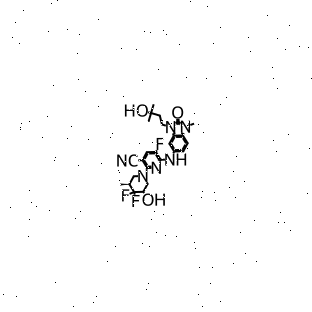 C[C@H]1CN(c2nc(Nc3ccc4c(c3)n(CCC(C)(C)O)c(=O)n4C)c(F)cc2C#N)C[C@@H](O)C1(F)F